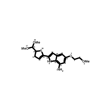 COCCOc1cc(N)c2[nH]c(C3=CCC(C(OC)OC)S3)cc2c1